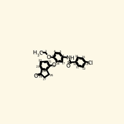 CCOc1ccc(NC(=O)c2ccc(Cl)cc2)cc1Oc1cccc2c1CCC2=O